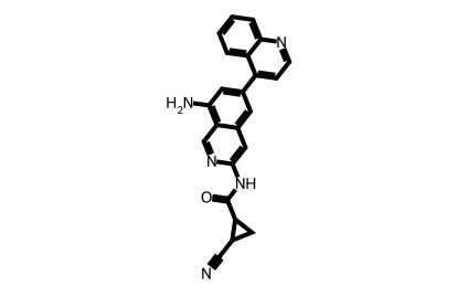 N#CC1CC1C(=O)Nc1cc2cc(-c3ccnc4ccccc34)cc(N)c2cn1